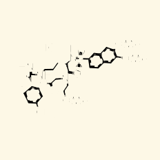 COCCN(CC(=O)Oc1cccc(C)c1)C(=O)[C@H](CCCNC(=N)N)NS(=O)(=O)c1ccc2cc(OC)c(OC)cc2c1.Cl